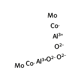 [Al+3].[Al+3].[Co].[Co].[Mo].[Mo].[O-2].[O-2].[O-2]